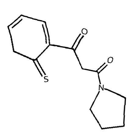 O=C(CC(=O)N1CCCC1)C1=CC=CCC1=S